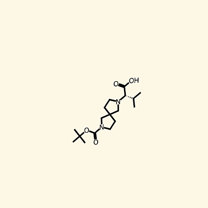 CC(C)[C@@H](C(=O)O)N1CCC2(CCN(C(=O)OC(C)(C)C)C2)C1